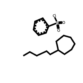 CCCCCC1CCCCCC1.O=S(=O)(Cl)c1ccccc1